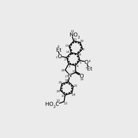 CCOc1c2c(c(OCC)c3ccc([N+](=O)[O-])cc13)C(=O)N(c1ccc(CC(=O)O)cc1)C2